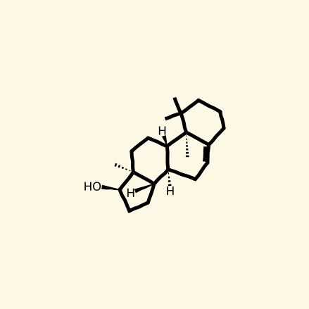 CC1(C)CCCC2=CC[C@H]3[C@@H]4CC[C@@H](O)[C@@]4(C)CC[C@@H]3[C@]21C